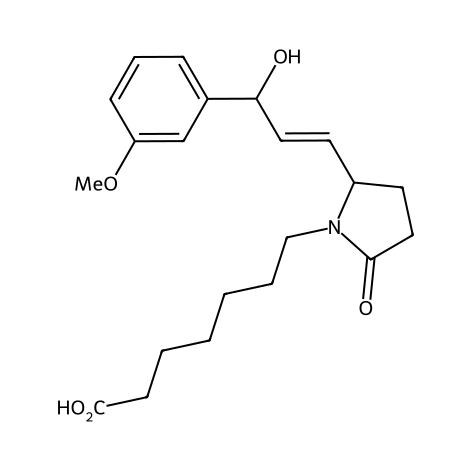 COc1cccc(C(O)C=CC2CCC(=O)N2CCCCCCC(=O)O)c1